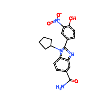 NC(=O)c1ccc2c(c1)nc(-c1ccc(O)c([N+](=O)[O-])c1)n2C1CCCC1